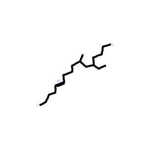 [CH2]CCC/C=C/CCCC(C)CC(CC)CCC[CH2]